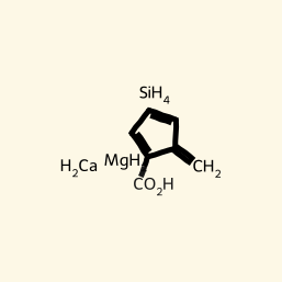 C=C1C=CC=C1C(=O)O.[CaH2].[MgH2].[SiH4]